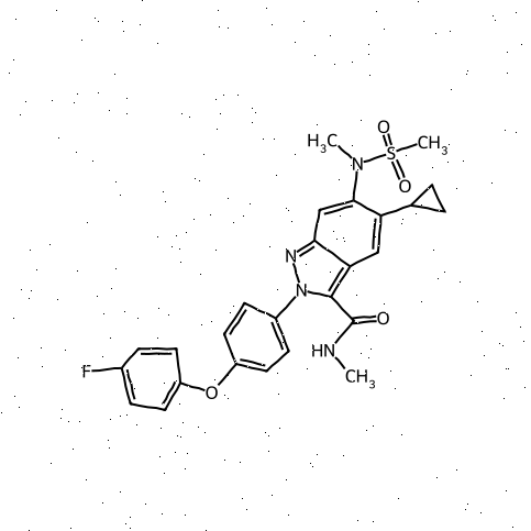 CNC(=O)c1c2cc(C3CC3)c(N(C)S(C)(=O)=O)cc2nn1-c1ccc(Oc2ccc(F)cc2)cc1